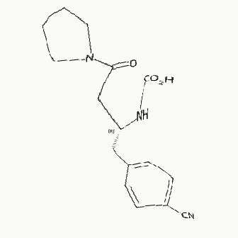 N#Cc1ccc(C[C@H](CC(=O)N2CCCC2)NC(=O)O)cc1